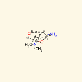 CN(C)C(=O)C1(c2ccc(N)cc2)CCOCC1